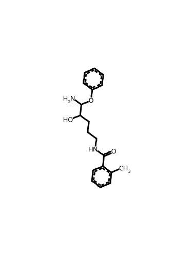 Cc1ccccc1C(=O)NCCCC(O)C(N)Oc1ccccc1